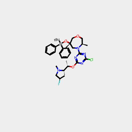 C[C@H](Oc1nc(Cl)nc(N2C[C@](C)(O[Si](c3ccccc3)(c3ccccc3)C(C)(C)C)COC[C@H]2C)n1)[C@@H]1C[C@@H](F)CN1C